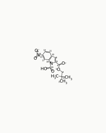 CC(C)(C)COC(=O)c1cc2ccc([N+](=O)[O-])cc2n1C(=O)O